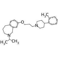 Cc1ccccc1C1CCN(CCCOc2ccc3c(c2)CN(C(C)C)CCC3)CC1